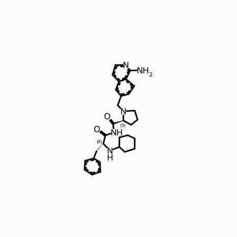 Nc1nccc2cc(CN3CCC[C@H]3C(=O)NC(=O)[C@@H](Cc3ccccc3)NC3CCCCC3)ccc12